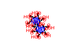 CC(=O)[C@H](CCC(=O)O)NC(=O)[C@H](CCC(=O)O)NC(=O)[C@H](CCC(=O)O)NC(=O)[C@H](CCC(=O)O)NC(=O)[C@H](CCC(=O)O)NC(=O)[C@H](CCC(=O)O)NC(=O)[C@H](CCC(=O)O)NC(=O)[C@H](CCC(=O)O)NC(=O)[C@H](CCC(=O)O)NC(=O)[C@@H](N)CCC(=O)O